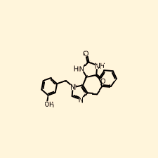 O=C1NC(=O)C(c2c(Cc3ccccc3)ncn2Cc2cccc(O)c2)N1